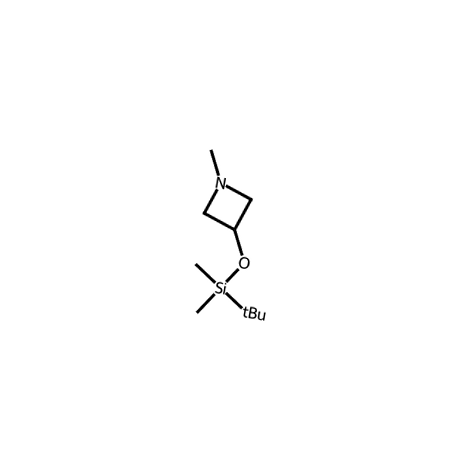 CN1CC(O[Si](C)(C)C(C)(C)C)C1